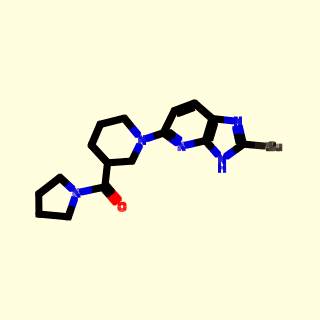 CC(C)(C)c1nc2ccc(N3CCCC(C(=O)N4CCCC4)C3)nc2[nH]1